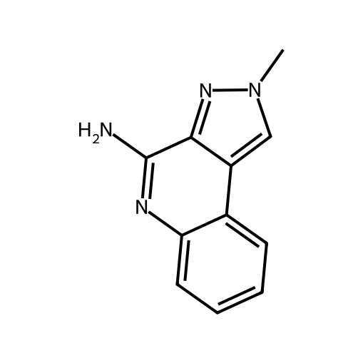 Cn1cc2c(n1)c(N)nc1ccccc12